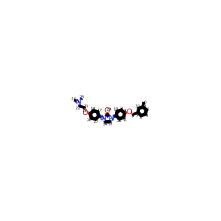 Cc1cccc(COc2ccc(-n3ccn(-c4ccc(OCCN(C)C)cc4)c3=O)cc2)c1